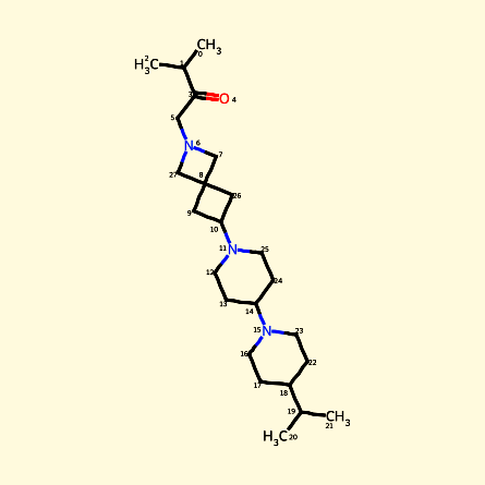 CC(C)C(=O)CN1CC2(CC(N3CCC(N4CCC(C(C)C)CC4)CC3)C2)C1